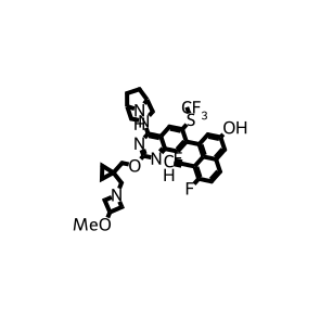 C#Cc1c(F)ccc2cc(O)cc(-c3c(SC(F)(F)F)cc4c(N5CC6CCC(C5)N6)nc(OCC5(CN6CC(OC)C6)CC5)nc4c3F)c12